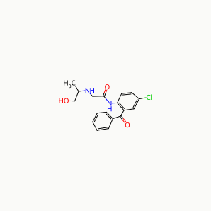 CC(CO)NCC(=O)Nc1ccc(Cl)cc1C(=O)c1ccccc1